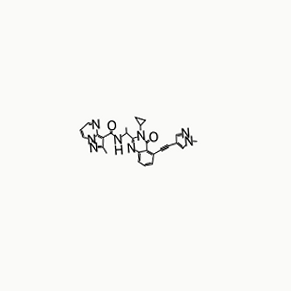 Cc1nn2cccnc2c1C(=O)NC(C)c1nc2cccc(C#Cc3cnn(C)c3)c2c(=O)n1C1CC1